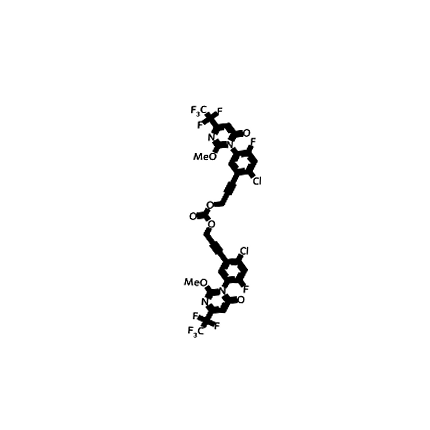 COc1nc(C(F)(F)C(F)(F)F)cc(=O)n1-c1cc(C#CCOC(=O)OCC#Cc2cc(-n3c(OC)nc(C(F)(F)C(F)(F)F)cc3=O)c(F)cc2Cl)c(Cl)cc1F